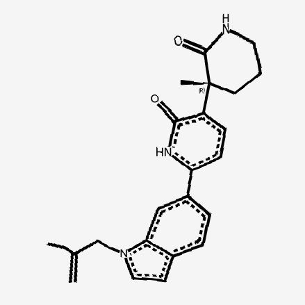 C=C(C)Cn1ccc2ccc(-c3ccc([C@@]4(C)CCCNC4=O)c(=O)[nH]3)cc21